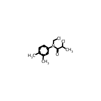 Cc1ccc(N(CCl)C(=O)C(C)Cl)cc1C